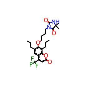 CCCc1cc2c(C(F)(F)F)cc(=O)oc2c(CCC)c1OCCCCN1C(=O)NC(C)(C)C1=O